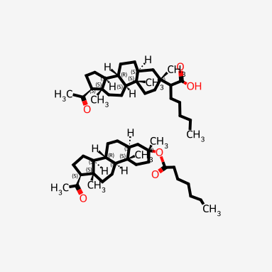 CCCCCC(C(=O)O)[C@]1(C)CC[C@@]2(C)[C@@H](CC[C@@H]3[C@@H]2CC[C@]2(C)[C@@H](C(C)=O)CC[C@@H]32)C1.CCCCCCC(=O)O[C@]1(C)CC[C@@]2(C)[C@@H](CC[C@@H]3[C@@H]2CC[C@]2(C)[C@@H](C(C)=O)CC[C@@H]32)C1